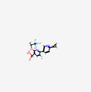 C[C@H](Oc1nc(-c2ccc(C3CC3)nc2)c(F)cc1C(=O)O)C(F)(F)F